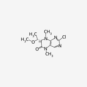 COC(C)[C@H]1C(=O)N(C)c2cnc(Cl)nc2N1C